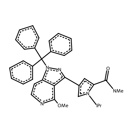 CNC(=O)c1cc(-c2nn(C(c3ccccc3)(c3ccccc3)c3ccccc3)c3ccnc(OC)c23)cn1C(C)C